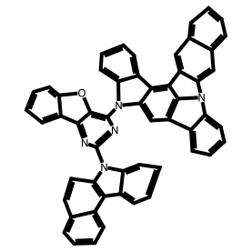 c1ccc2cc3c(cc2c1)c1c2c4ccccc4n(-c4nc(-n5c6ccccc6c6c7ccccc7ccc65)nc5c4oc4ccccc45)c2cc2c4ccccc4n3c21